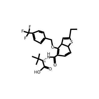 CCC1=CC2C(OCc3ccc(C(F)(F)F)cc3)=C(C(=O)N[C@H](C(=O)O)C(C)(C)C)C=CC2S1